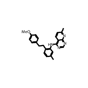 COc1ccc(CCc2ccc(C)cc2Nc2ncnc3nc(C)ccc23)cc1